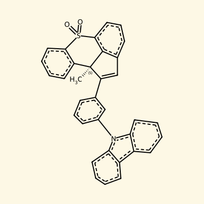 C[C@@]12C(c3cccc(-n4c5ccccc5c5ccccc54)c3)=Cc3cccc(c31)S(=O)(=O)c1ccccc12